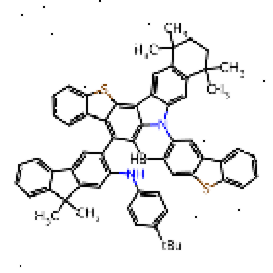 CC(C)(C)c1ccc(Nc2cc3c(cc2-c2c4c5c(c6cc7c(cc6n5-c5cc6c(cc5B4)sc4ccccc46)C(C)(C)CCC7(C)C)c4sc5ccccc5c24)-c2ccccc2C3(C)C)cc1